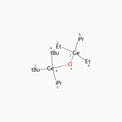 C[CH2][Ge]([CH2]C)([O][Ge]([CH](C)C)([C](C)(C)C)[C](C)(C)C)[CH](C)C